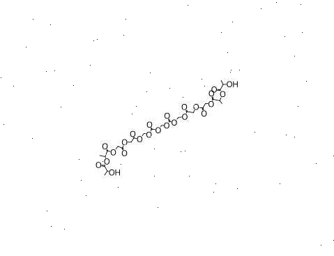 CC(O)C(=O)OC(C)C(=O)OCC(=O)OCC(=O)OCOC(=O)OCOC(=O)OCOC(=O)COC(=O)COC(=O)C(C)OC(=O)C(C)O